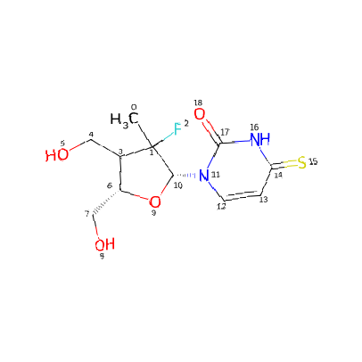 CC1(F)C(CO)[C@@H](CO)O[C@H]1n1ccc(=S)[nH]c1=O